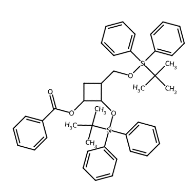 CC(C)(C)[Si](OCC1CC(OC(=O)c2ccccc2)C1O[Si](c1ccccc1)(c1ccccc1)C(C)(C)C)(c1ccccc1)c1ccccc1